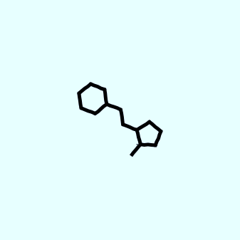 C[C]1CCCC1CCC1CCCCC1